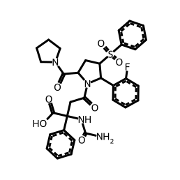 NC(=O)NC(CC(=O)N1C(C(=O)N2CCCC2)CC(S(=O)(=O)c2ccccc2)C1c1ccccc1F)(C(=O)O)c1ccccc1